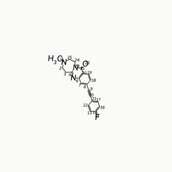 CN1CCc2nc3cc(C#Cc4ccc(F)cc4)ccc3c(=O)n2CC1